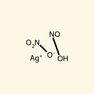 O=NO.O=[N+]([O-])[O-].[Ag+]